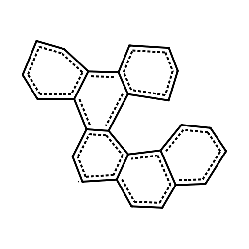 [c]1cc2c3ccccc3c3ccccc3c2c2c1ccc1ccccc12